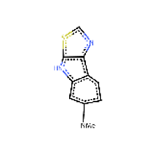 CNc1ccc2c(c1)[nH]c1scnc12